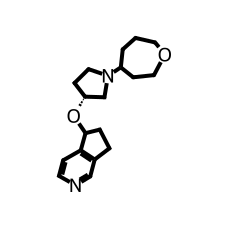 c1cc2c(cn1)CCC2O[C@@H]1CCN(C2CCCOCC2)C1